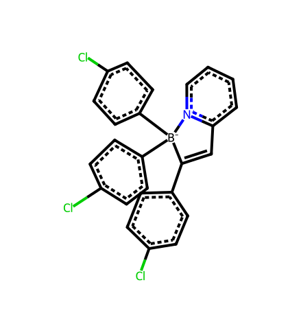 Clc1ccc(C2=Cc3cccc[n+]3[B-]2(c2ccc(Cl)cc2)c2ccc(Cl)cc2)cc1